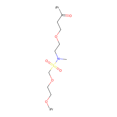 CC(C)OCCOCS(=O)(=O)N(C)CCOCCC(=O)C(C)C